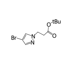 CC(C)(C)OC(=O)CCn1cc(Br)cn1